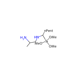 CCCCCC(NCC(C)N)[Si](OC)(OC)OC